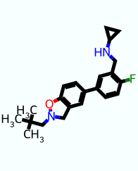 CC(C)(C)CN1Cc2cc(-c3ccc(F)c(CNC4CC4)c3)ccc2O1